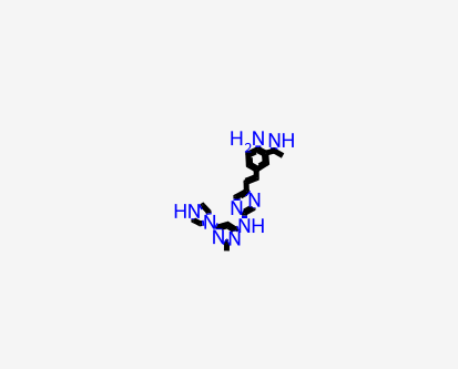 CC(=N)c1cc(/C=C/c2cnc(Nc3cc(N4CCNCC4)nc(C)n3)cn2)ccc1N